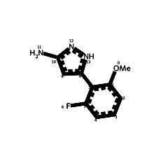 COc1cccc(F)c1-c1cc(N)n[nH]1